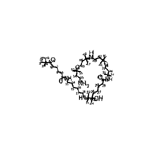 CC(C)C(C)(C)C(=O)CCCCC(=O)NCCCCCCNC(C)(C)C(C)(O)CCCCC(=O)NC(C)(C)CCOC(C)(C)CCNC(C)(C)CCOC(C)(C)CCN